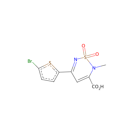 CN1C(C(=O)O)=CC(c2ccc(Br)s2)=NS1(=O)=O